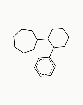 c1ccc([SH]2CCCCC2C2CCCCCC2)cc1